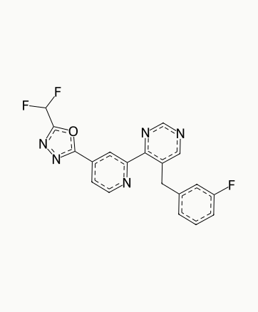 Fc1cccc(Cc2cncnc2-c2cc(-c3nnc(C(F)F)o3)ccn2)c1